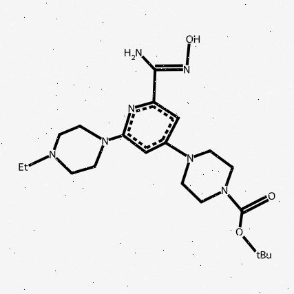 CCN1CCN(c2cc(N3CCN(C(=O)OC(C)(C)C)CC3)cc(/C(N)=N/O)n2)CC1